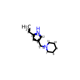 C=Cc1cc([CH]N2CCCCC2)c[nH]1